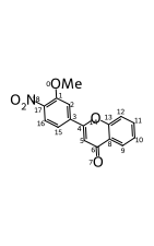 COc1cc(-c2cc(=O)c3ccccc3o2)ccc1[N+](=O)[O-]